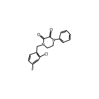 O=C1C(=O)N(c2ccccc2)CCN1Cc1ccc(F)cc1Cl